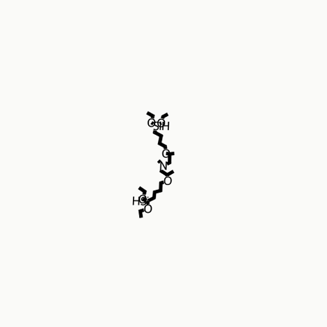 CCO[SiH](CCCCOC(C)CN(C)CC(C)OCCCC[SiH](OCC)OCC)OCC